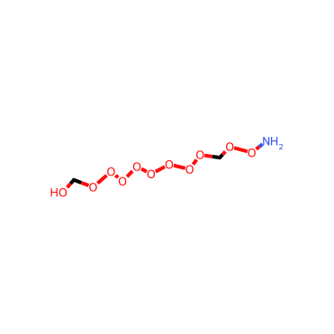 NOOCOOOOOOOOCO